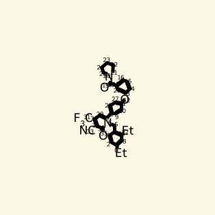 CCc1ccc(Cn2c(-c3ccc(Oc4cccc(C(=O)N5CCCCC5)c4)cc3)cc(C(F)(F)F)c(C#N)c2=O)c(CC)c1